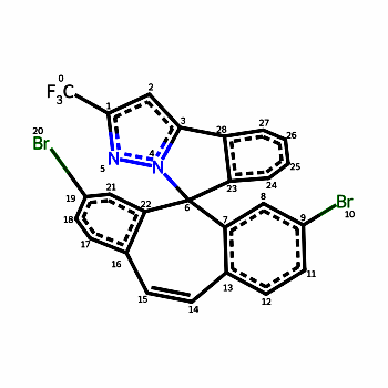 FC(F)(F)c1cc2n(n1)C1(c3cc(Br)ccc3C=Cc3ccc(Br)cc31)c1ccccc1-2